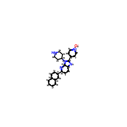 [O-][n+]1ccc(-c2nc3ccc(-c4ccc5ccccc5c4)nc3n2C2CCNCC2)cc1